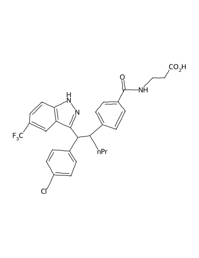 CCCC(c1ccc(C(=O)NCCC(=O)O)cc1)C(c1ccc(Cl)cc1)c1n[nH]c2ccc(C(F)(F)F)cc12